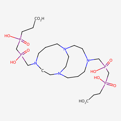 O=C(O)CCP(=O)(O)CP(=O)(O)CN1CCCN2CCN(CCCN(CP(=O)(O)CP(=O)(O)CCC(=O)O)CC2)CC1